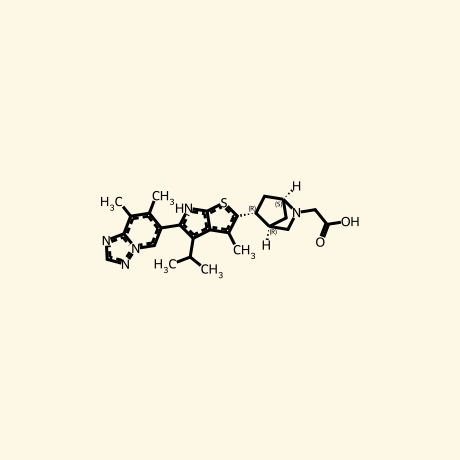 Cc1c(-c2[nH]c3sc([C@@H]4C[C@@H]5C[C@H]4CN5CC(=O)O)c(C)c3c2C(C)C)cn2ncnc2c1C